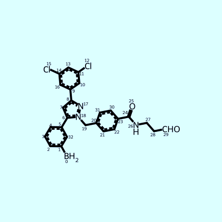 Bc1cccc(-c2cc(-c3cc(Cl)cc(Cl)c3)nn2Cc2ccc(C(=O)NCCC=O)cc2)c1